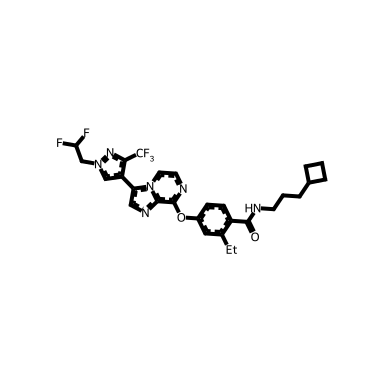 CCc1cc(Oc2nccn3c(-c4cn(CC(F)F)nc4C(F)(F)F)cnc23)ccc1C(=O)NCCCC1CCC1